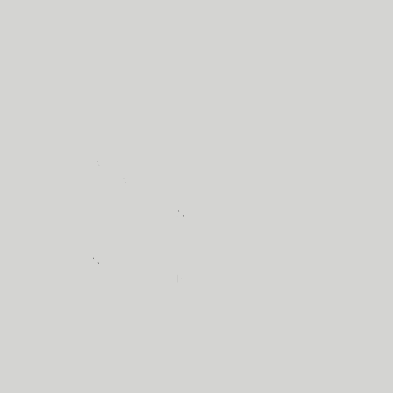 Cc1nc(C)c(C(=O)C(=O)OC(C)C)c(N2CCC(Cc3ccccc3)CC2)c1Br